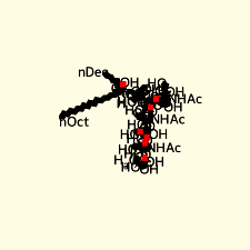 CCCCCCCC/C=C\CCCCCCCCCCCCCCCC(=O)N[C@@H](CO[C@@H]1OC(CO)[C@@H](O[C@@H]2OC(CO)[C@H](O[C@@H]3OC(CO)[C@H](O)[C@H](O[C@@H]4OC(CO)[C@H](O)[C@H](O[C@@H]5OC(CO)[C@@H](O)[C@H](O[C@H]6OC(C)[C@@H](O)C(O)[C@@H]6O)C5NC(C)=O)C4O)C3NC(C)=O)[C@H](O[C@]3(C(=O)O)CC(O)[C@@H](NC(C)=O)C([C@H](O)[C@H](O)CO)O3)C2O)[C@H](O)C1O)[C@H](O)/C=C/CCCCCCCCCCCCC